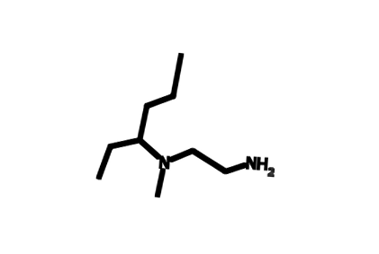 CCCC(CC)N(C)CCN